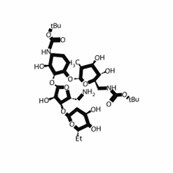 CC[C@@H]1OC(O[C@H]2[C@@H](O)[C@H](O[C@H]3C(O[C@H]4O[C@H](CNC(=O)OC(C)(C)C)[C@@H](O)[C@H](O)[C@H]4C)CC[C@@H](NC(=O)OC(C)(C)C)[C@@H]3O)O[C@@H]2CN)C[C@@H](O)C1O